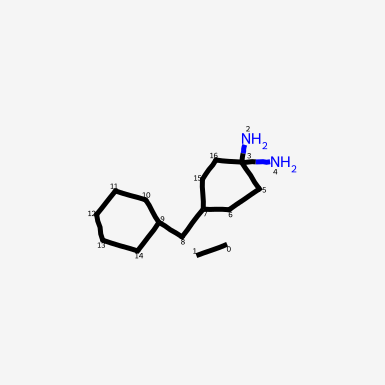 CC.NC1(N)CCC(CC2CCCCC2)CC1